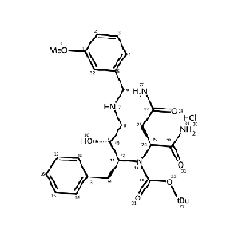 COc1cccc(CNC[C@@H](O)[C@H](Cc2ccccc2)N(C(=O)OC(C)(C)C)[C@@H](CC(N)=O)C(N)=O)c1.Cl